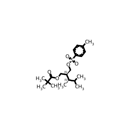 Cc1ccc(S(=O)(=O)OC[C@H](COC(=O)C(C)(C)C)[C@@H](C)C(C)C)cc1